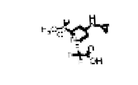 CS(=O)(=O)c1cc(NC2CC2)ccn1.O=C(O)C(F)(F)F